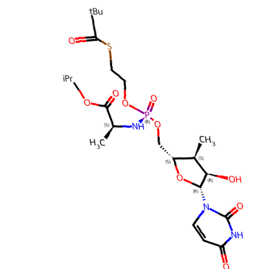 CC(C)OC(=O)[C@H](C)N[P@](=O)(OCCSC(=O)C(C)(C)C)OC[C@H]1O[C@@H](n2ccc(=O)[nH]c2=O)[C@H](O)[C@@H]1C